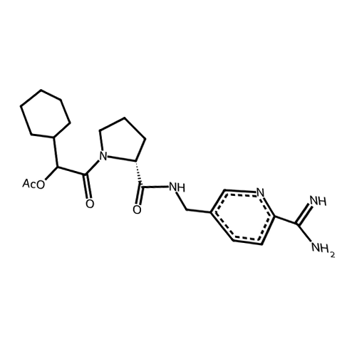 CC(=O)OC(C(=O)N1CCC[C@@H]1C(=O)NCc1ccc(C(=N)N)nc1)C1CCCCC1